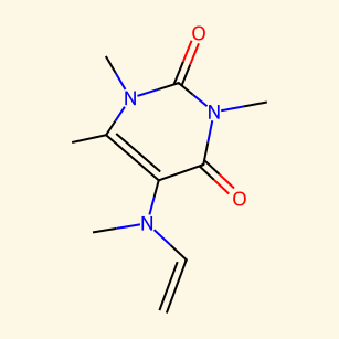 C=CN(C)c1c(C)n(C)c(=O)n(C)c1=O